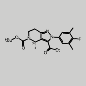 CCC(=O)c1c2c(nn1-c1cc(C)c(F)c(C)c1)CCN(C(=O)OC(C)(C)C)[C@H]2C